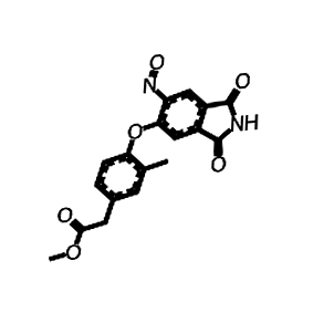 COC(=O)Cc1ccc(Oc2cc3c(cc2N=O)C(=O)NC3=O)c(C)c1